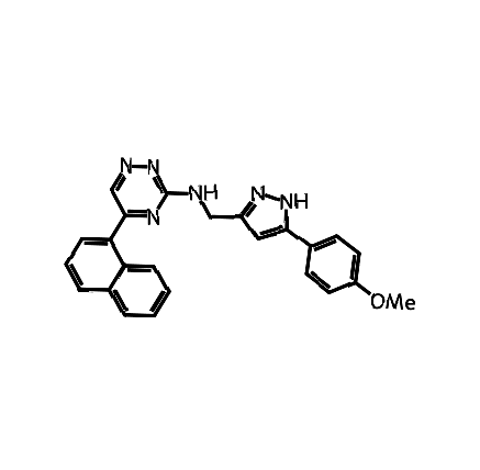 COc1ccc(-c2cc(CNc3nncc(-c4cccc5ccccc45)n3)n[nH]2)cc1